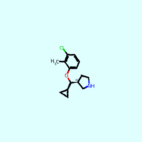 Cc1c(Cl)cccc1OC(C1CC1)[C@H]1CCNC1